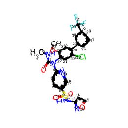 CNC(=O)N(c1ccc(S(=O)(=O)Nc2ccon2)cn1)c1cc(Cl)c(-c2cccc(C(F)(F)F)c2)cc1OC